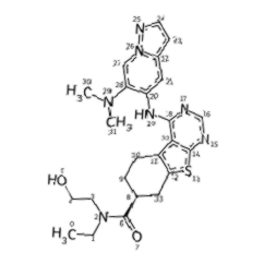 CCN(CCO)C(=O)[C@H]1CCc2c(sc3ncnc(Nc4cc5ccnn5cc4N(C)C)c23)C1